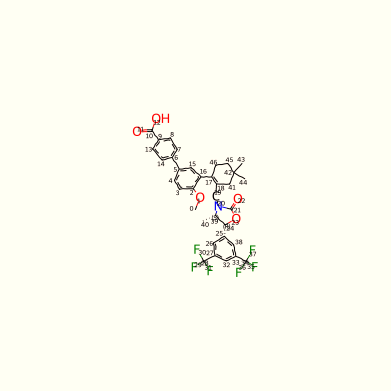 COc1ccc(-c2ccc(C(=O)O)cc2)cc1C1=C(CN2C(=O)O[C@H](c3cc(C(F)(F)F)cc(C(F)(F)F)c3)[C@@H]2C)CC(C)(C)CC1